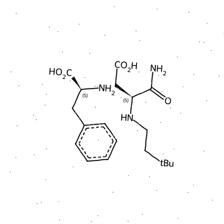 CC(C)(C)CCN[C@@H](CC(=O)O)C(N)=O.N[C@@H](Cc1ccccc1)C(=O)O